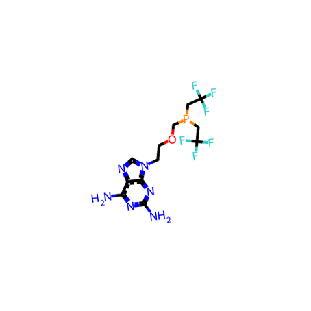 Nc1nc(N)c2ncn(CCOCP(CC(F)(F)F)CC(F)(F)F)c2n1